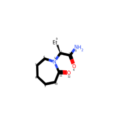 CC[C@@H](C(N)=O)N1CCCCCC1=O